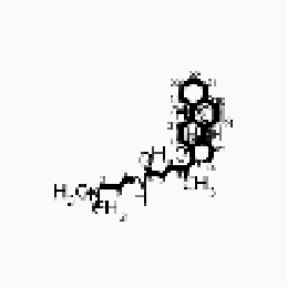 C[C@H](CCC(=O)NCCCN(C)C)[C@H]1CC[C@H]2[C@@H]3CCC4CCCC[C@]4(C)[C@H]3CC[C@]12C